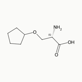 N[C@@H](COC1CCCC1)C(=O)O